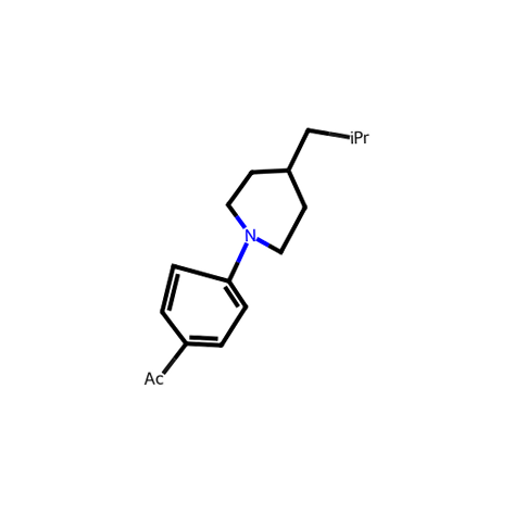 CC(=O)c1ccc(N2CCC(CC(C)C)CC2)cc1